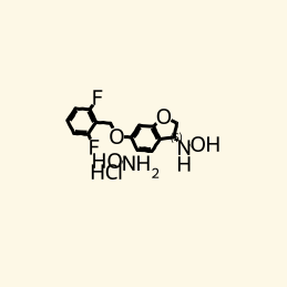 Cl.NO.ON[C@@H]1COc2cc(OCc3c(F)cccc3F)ccc21